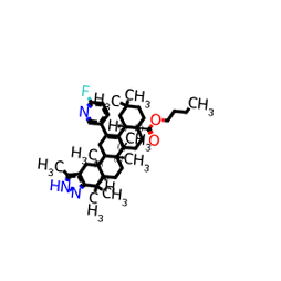 CCCCOC(=O)[C@]12CCC(C)(C)C[C@H]1C1=C(c3ccc(F)nc3)CC3[C@@]4(C)Cc5c(n[nH]c5C)C(C)(C)[C@@H]4CC[C@@]3(C)[C@]1(C)CC2